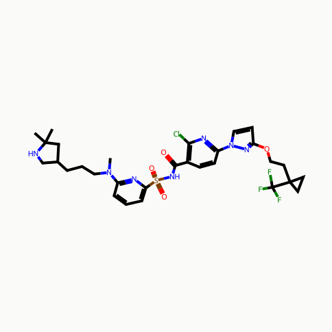 CN(CCCC1CNC(C)(C)C1)c1cccc(S(=O)(=O)NC(=O)c2ccc(-n3ccc(OCCC4(C(F)(F)F)CC4)n3)nc2Cl)n1